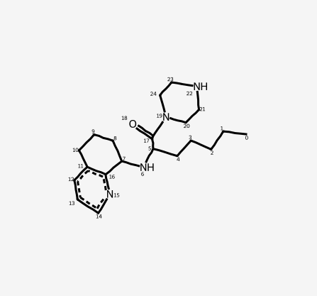 CCCCCC(NC1CCCc2cccnc21)C(=O)N1CCNCC1